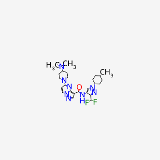 CN(C)C1CCN(c2ccn3ncc(C(=O)Nc4cn([C@H]5CC[C@H](C)CC5)nc4C(F)F)c3n2)CC1